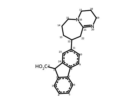 O=C(O)C1c2ccccc2-c2ccc(C3CCCN4CCCN=C4C3)cc21